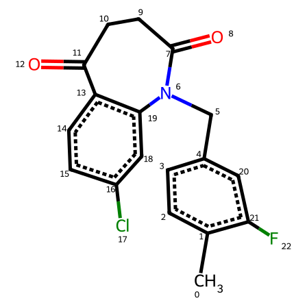 Cc1ccc(CN2C(=O)CCC(=O)c3ccc(Cl)cc32)cc1F